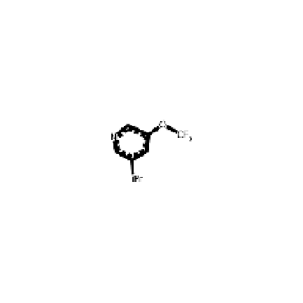 CC(C)c1cncc(OC(F)(F)F)c1